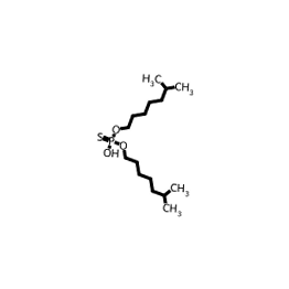 CC(C)CCCCCOP(O)(=S)OCCCCCC(C)C